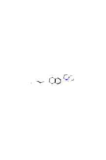 CCCC=CCO[C@H]1CCc2cc([C@H]3CC[C@]4(COC(=O)N4)C3)ccc2C1